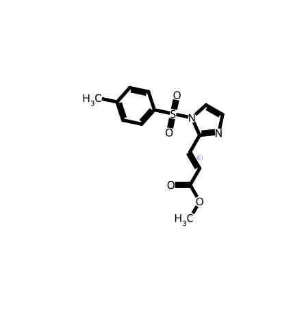 COC(=O)/C=C/c1nccn1S(=O)(=O)c1ccc(C)cc1